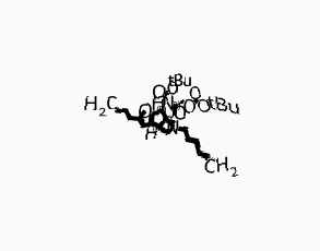 C=CCCCCN1CC[C@H]2c3cc(CCC=C)oc3[C@@H]3N(C(=O)OC(C)(C)C)[C@@H](COC(=O)OC(C)(C)C)C[C@@]32C1=O